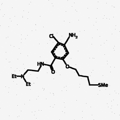 CCN(CC)CCNC(=O)c1cc(Cl)c(N)cc1OCCCCSC